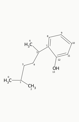 CC(C)CCC(C)c1ccccc1O